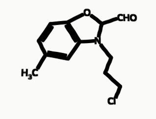 Cc1ccc2c(c1)N(CCCCl)C(C=O)O2